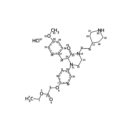 CCOC(=O)COc1ccc(N2CCN(CCC3CCNCC3)C(=O)C2Cc2ccc(OC)cc2)cc1.Cl